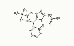 CC(C)(C)[S+]([O-])NC(c1cnc(NC(=O)O)s1)c1ccccc1Cl